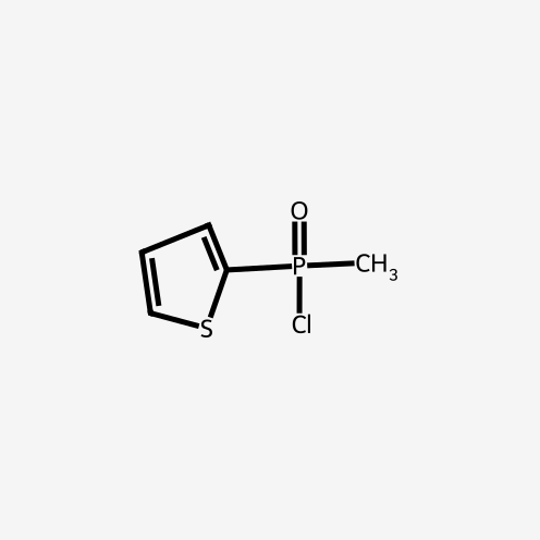 CP(=O)(Cl)c1cccs1